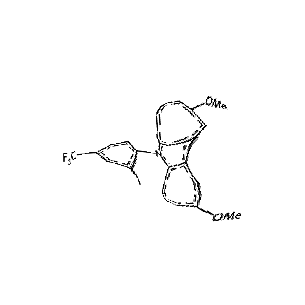 COc1ccc2c(c1)c1cc(OC)ccc1n2-c1ccc(C(F)(F)F)cc1C